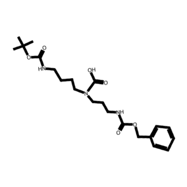 CC(C)(C)OC(=O)NCCCCN(CCCNC(=O)OCc1ccccc1)C(=O)O